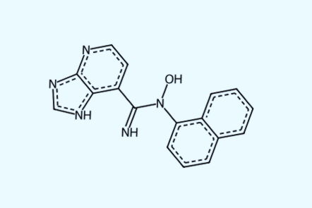 N=C(c1ccnc2nc[nH]c12)N(O)c1cccc2ccccc12